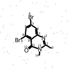 Cc1nc2cc(Br)cc(Br)c2c(=O)n1C